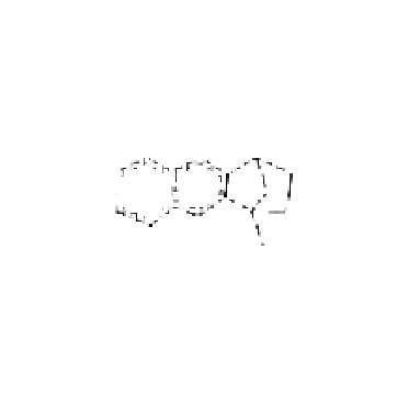 BrC12CCC(C1)c1cc3ccccc3cc12